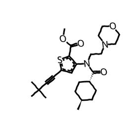 COC(=O)c1sc(C#CC(C)(C)C)cc1N(CCN1CCOCC1)C(=O)[C@H]1CC[C@H](C)CC1